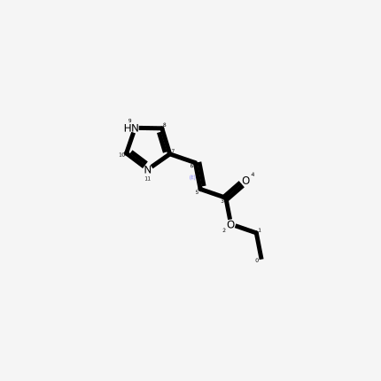 CCOC(=O)/C=C/c1c[nH]cn1